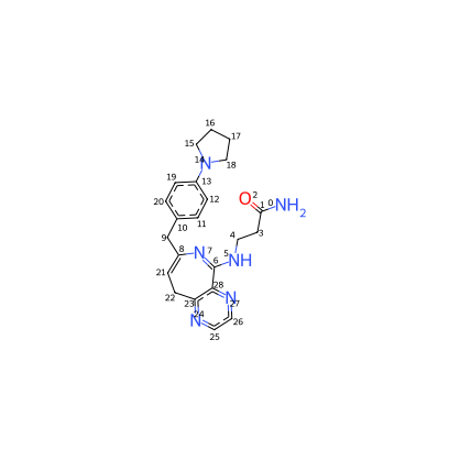 NC(=O)CCNC1=NC(Cc2ccc(N3CCCC3)cc2)=CCc2nccnc21